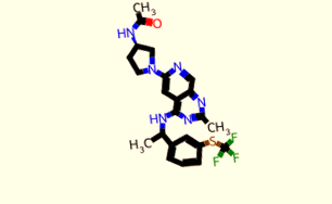 CC(=O)N[C@@H]1CCN(c2cc3c(NC(C)c4cccc(SC(F)(F)F)c4)nc(C)nc3cn2)C1